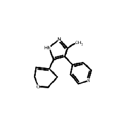 Cc1n[nH]c(C2=CCOCC2)c1-c1ccncc1